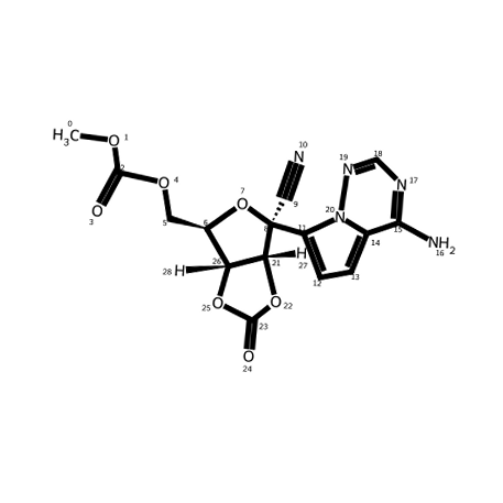 COC(=O)OC[C@H]1O[C@@](C#N)(c2ccc3c(N)ncnn23)[C@@H]2OC(=O)O[C@@H]21